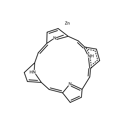 C1=CC2=NC1=CC1=CCC(C=C3C=CC(=N3)C=c3ccc([nH]3)=C2)N1.[Zn]